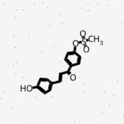 CS(=O)(=O)Oc1ccc(C(=O)/C=C/c2ccc(O)cc2)cc1